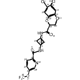 O=C(NC12CC(NC(=O)C3COc4cc(Cl)c(Cl)cc4O3)(C1)C2)c1ccc(OC(F)(F)F)cn1